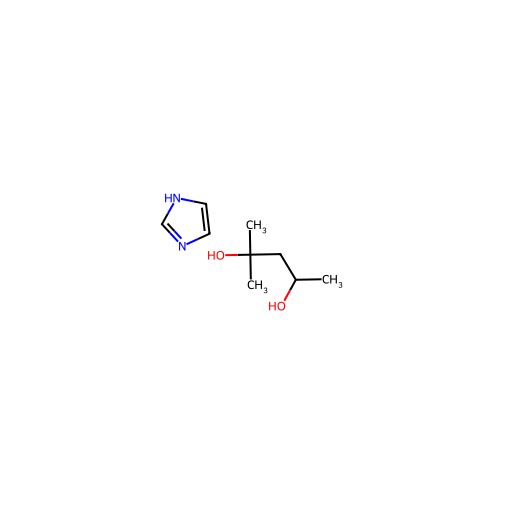 CC(O)CC(C)(C)O.c1c[nH]cn1